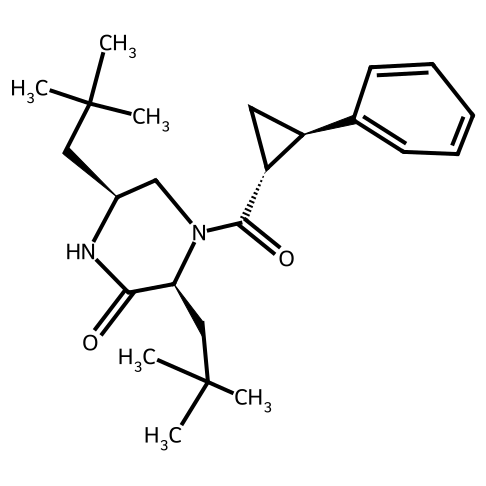 CC(C)(C)C[C@H]1CN(C(=O)[C@@H]2C[C@H]2c2ccccc2)[C@@H](CC(C)(C)C)C(=O)N1